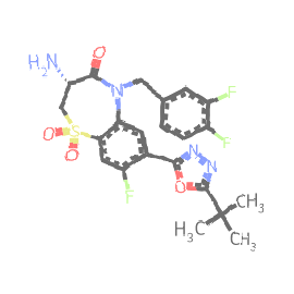 CC(C)(C)c1nnc(-c2cc3c(cc2F)S(=O)(=O)C[C@H](N)C(=O)N3Cc2ccc(F)c(F)c2)o1